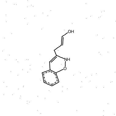 OC=CCC1=Cc2ccccc2ON1